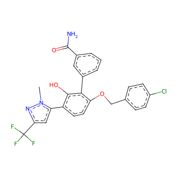 Cn1nc(C(F)(F)F)cc1-c1ccc(OCc2ccc(Cl)cc2)c(-c2cccc(C(N)=O)c2)c1O